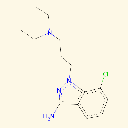 CCN(CC)CCCn1nc(N)c2cccc(Cl)c21